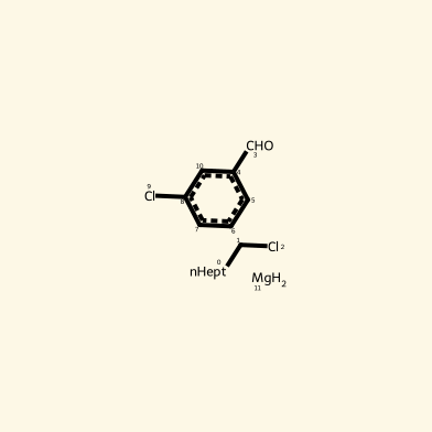 CCCCCCCCCl.O=Cc1cccc(Cl)c1.[MgH2]